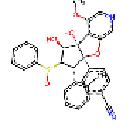 COc1cncc2c1[C@]1(O)[C@H](O)[C@H]([S+]([O-])c3ccccc3)[C@@H](c3ccccc3C)[C@]1(c1ccc(C#N)cc1)O2